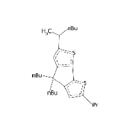 CCCCC(C)c1cc2c(s1)-c1sc(C(C)C)cc1C2(CCCC)CCCC